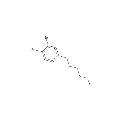 [CH2]CCCCCc1ccc(Br)c(Br)c1